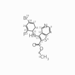 CCOC(=O)c1sc2ccncc2c1NC1CC=C(Br)C=C1F